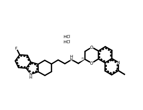 Cc1ccc2c3c(ccc2n1)OC[C@H](CNCCC1CCc2[nH]c4ccc(F)cc4c2C1)O3.Cl.Cl